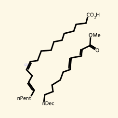 CCCCCC=CC/C=C\CCCCCCCCCC(=O)O.CCCCCCCCCCCCCCCC=CC=CC(=O)OC